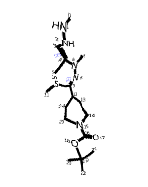 CNN/C=C(/C)N(C)/N=C(\SC)C1CCN(C(=O)OC(C)(C)C)CC1